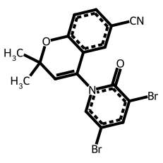 CC1(C)C=C(n2cc(Br)cc(Br)c2=O)c2cc(C#N)ccc2O1